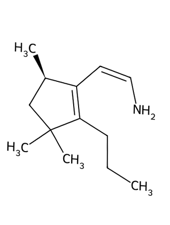 CCCC1=C(/C=C\N)[C@H](C)CC1(C)C